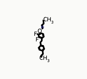 CCC/C=C/Oc1ccc(CCc2ccc(CCC)cc2)c(F)c1F